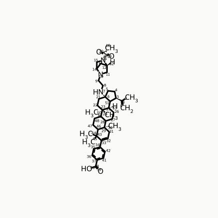 C=C(C)[C@@H]1CC[C@]2(NCCN3C[C@@H]4CC3CN4S(C)(=O)=O)CC[C@]3(C)[C@H](CCC4[C@@]5(C)CC=C(c6ccc(C(=O)O)cc6)C(C)(C)C5CC[C@]43C)C12